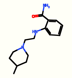 CC1CCN(CCNc2ccccc2C(N)=O)CC1